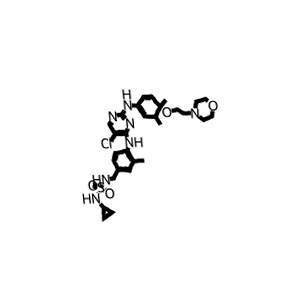 Cc1cc(CNS(=O)(=O)NC2CC2)ccc1Nc1nc(NC2=CC(C)C(C)(OCCN3CCOCC3)C=C2)ncc1Cl